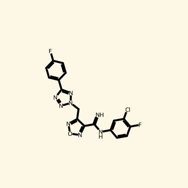 N=C(Nc1ccc(F)c(Cl)c1)c1nonc1Cn1nnc(-c2ccc(F)cc2)n1